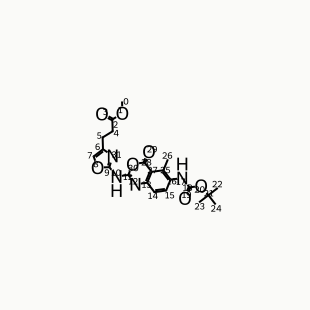 COC(=O)CCc1coc(Nc2nc3ccc(NC(=O)OC(C)(C)C)c(C)c3c(=O)o2)n1